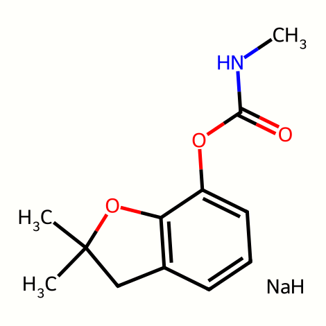 CNC(=O)Oc1cccc2c1OC(C)(C)C2.[NaH]